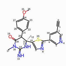 C#Cc1cncc(-c2ncc([C@@]3(C)NC(=N)N(C)C(=O)C3c3ccc(OC)cc3)s2)c1